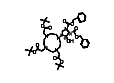 CC(C)(C)OC(=O)CN1CCN(CC(=O)OC(C)(C)C)CCN([C@@H]2CN(C(=O)OCc3ccccc3)[C@H](C(=O)OCc3ccccc3)[C@H]2O)CCN(CC(=O)OC(C)(C)C)CC1